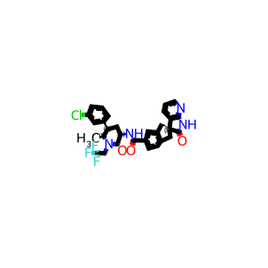 C[C@H]1[C@@H](c2cccc(Cl)c2)C[C@@H](NC(=O)c2ccc3c(c2)C[C@@]2(C3)C(=O)Nc3ncccc32)C(=O)N1CC(F)(F)F